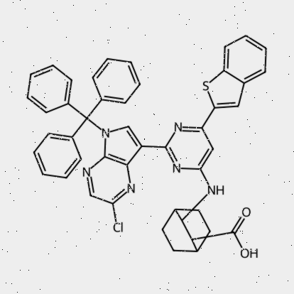 O=C(O)C1C2CCC(CC2)C1Nc1cc(-c2cc3ccccc3s2)nc(-c2cn(C(c3ccccc3)(c3ccccc3)c3ccccc3)c3ncc(Cl)nc23)n1